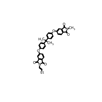 CC/C=C/N1C(=O)c2ccc(Oc3ccc(C(C)(C)c4ccc(Oc5ccc6c(c5)C(=O)N(C)C6=O)cc4)cc3)cc2C1=O